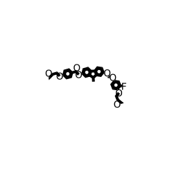 CC1c2cc(OCOc3ccc(OCC4CO4)c(F)c3)ccc2-c2ccc(OC(=O)c3ccc(OCC4CO4)cc3)cc21